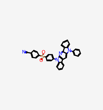 N#Cc1ccc(S(=O)(=O)c2ccc(-n3c4ccccc4c4cc5c(nc43)c3ccccc3n5-c3ccccc3)cc2)cc1